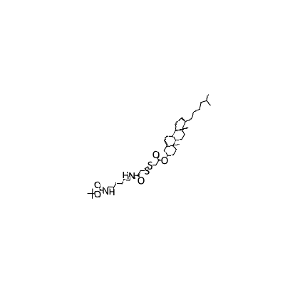 CC(C)CCCCC1CCC2C3CC=C4CC(OC(=O)CSSCC(=O)NCCCCCCNC(=O)OC(C)(C)C)CCC4(C)C3CCC12C